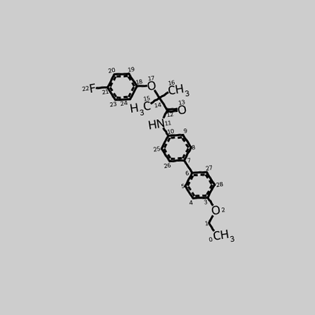 CCOc1ccc(-c2ccc(NC(=O)C(C)(C)Oc3ccc(F)cc3)cc2)cc1